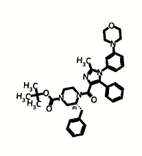 Cc1nc(C(=O)N2CCN(C(=O)OC(C)(C)C)C[C@H]2Cc2ccccc2)c(-c2ccccc2)n1-c1cccc(N2CCOCC2)c1